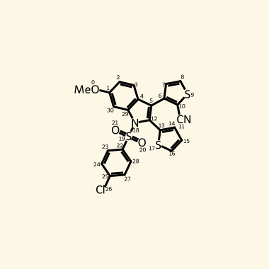 COc1ccc2c(-c3ccsc3C#N)c(-c3cccs3)n(S(=O)(=O)c3ccc(Cl)cc3)c2c1